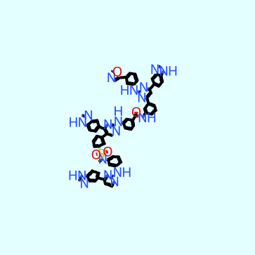 CN(c1cccc(Nc2nccc(-c3ccc4[nH]cnc4c3)n2)c1)S(=O)(=O)c1cccc(-c2cnc(Nc3cccc(C(=O)Nc4cccc(-c5cc(-c6ccc7[nH]cnc7c6)nc(Nc6cccc(-c7cnco7)c6)n5)c4)c3)nc2-c2ccc3[nH]cnc3c2)c1